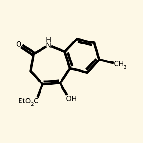 CCOC(=O)C1=C(O)c2cc(C)ccc2NC(=O)C1